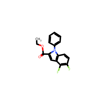 CCOC(=O)c1cc2c(F)c(F)ccc2n1-c1ccccc1